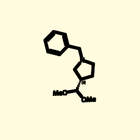 COC(OC)[C@H]1CCN(Cc2ccccc2)C1